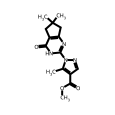 COC(=O)c1cnn(-c2nc3c(c(=O)[nH]2)CC(C)(C)C3)c1C